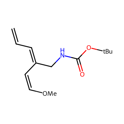 C=C/C=C(\C=C/OC)CNC(=O)OC(C)(C)C